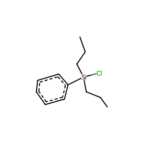 CCC[Si](Cl)(CCC)c1ccccc1